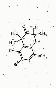 Cc1cc(Br)c(Cl)c2c1NC(C)(C)C(=O)C2(C)C